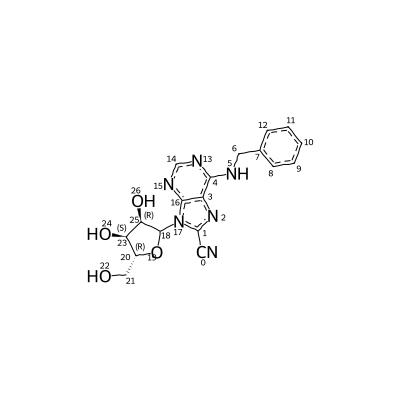 N#Cc1nc2c(NCc3ccccc3)ncnc2n1C1O[C@H](CO)[C@@H](O)[C@H]1O